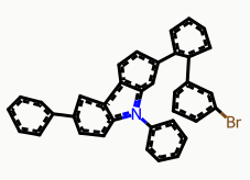 Brc1cccc(-c2ccccc2-c2ccc3c4cc(-c5ccccc5)ccc4n(-c4ccccc4)c3c2)c1